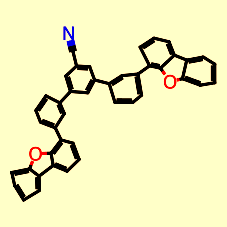 N#Cc1cc(-c2cccc(-c3cccc4c3oc3ccccc34)c2)cc(-c2cccc(-c3cccc4c3oc3ccccc34)c2)c1